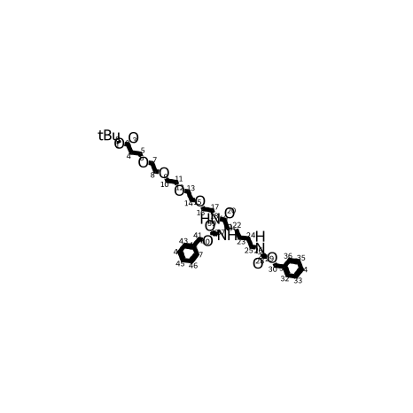 CC(C)(C)OC(=O)CCOCCOCCOCCOCCNC(=O)[C@H](CCCCNC(=O)OCc1ccccc1)NC(=O)OCc1ccccc1